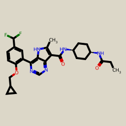 CCC(=O)N[C@H]1CC[C@@H](NC(=O)c2c(C)[nH]c3c(-c4cc(C(F)F)ccc4OCC4CC4)ncnc23)CC1